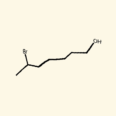 CC(Br)CCCCCO